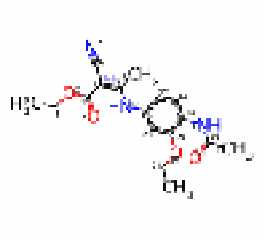 CCOC(=O)/C(C#N)=C(/C)Nc1ccc(NC(C)=O)c(OCC)c1